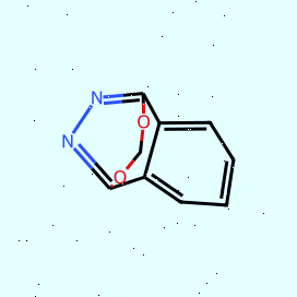 c1ccc2c3nnc(c2c1)OCO3